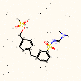 CN(C)/C=N/S(=O)(=O)c1cccc(Cc2ccc(COS(C)(=O)=O)cc2)c1